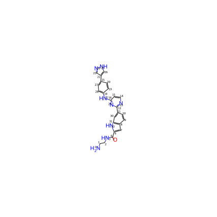 NCCNC(=O)c1cc2ccc(-c3nccc(Nc4ccc(-c5cn[nH]c5)cc4)n3)cc2[nH]1